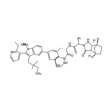 CCn1c(-c2cccnc2[C@H](C)OC)c(CC(C)(C)COC(C)=O)c2cc(-c3cc(O)cc(C[C@H](NC(=O)C(C(C)C)N4N[C@H]5[C@@H]6CC[C@@H](C6)[C@H]5C4=O)C(=O)N4CCCCN4)c3)ccc21